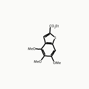 CCOC(=O)c1cc2c(OC)c(OC)c(OC)cc2s1